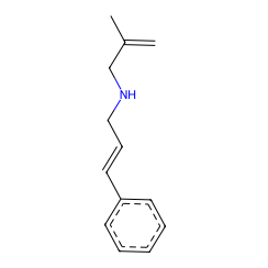 C=C(C)CNCC=Cc1ccccc1